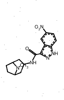 CN1C2CCC1CC(NC(=O)c1n[nH]c3ccc([N+](=O)[O-])cc13)C2